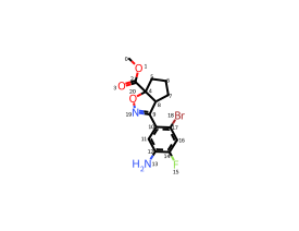 COC(=O)C12CCCC1C(c1cc(N)c(F)cc1Br)=NO2